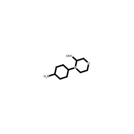 NC1CCC(N2CCOCC2C=O)CC1